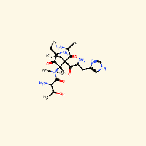 CCCN(C(=O)C(N)C(C)O)C(C(=O)O)(C(=O)C(N)CC(C)C)C(CC(=O)O)(C(=O)C(N)Cc1c[nH]cn1)C(=O)C(N)C(C)C